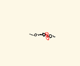 CCCCC[C@H]1CC[C@H](C=CC#Cc2ccc(OC(=O)[C@H]3CC[C@H](CCC)CC3)cc2)CC1